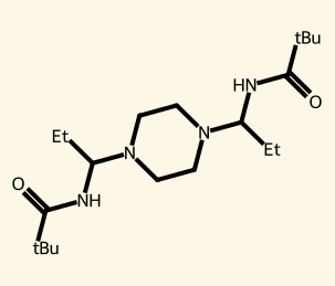 CCC(NC(=O)C(C)(C)C)N1CCN(C(CC)NC(=O)C(C)(C)C)CC1